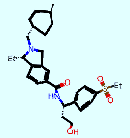 CC[C@H]1c2ccc(C(=O)N[C@@H](CCO)c3ccc(S(=O)(=O)CC)cc3)cc2CN1C[C@H]1CC[C@H](C)CC1